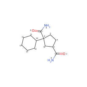 NC(=O)C1CCC(C(N)=O)(C2CCCCC2)C1